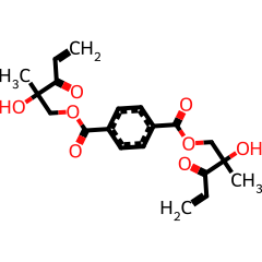 C=CC(=O)C(C)(O)COC(=O)c1ccc(C(=O)OCC(C)(O)C(=O)C=C)cc1